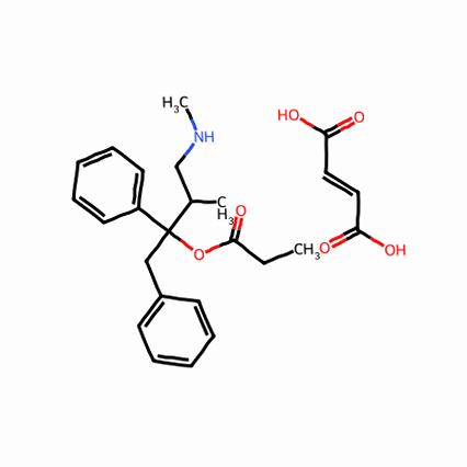 CCC(=O)OC(Cc1ccccc1)(c1ccccc1)C(C)CNC.O=C(O)C=CC(=O)O